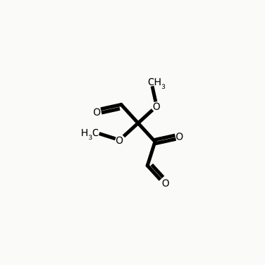 COC(C=O)(OC)C(=O)C=O